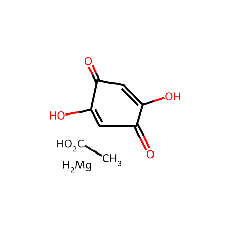 CC(=O)O.O=C1C=C(O)C(=O)C=C1O.[MgH2]